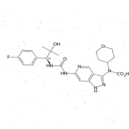 CC(C)(O)[C@@H](NC(=O)Nc1cc2[nH]nc(N(C(=O)O)C3CCOCC3)c2cn1)c1ccc(F)cc1